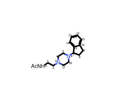 CC(=O)NCCN1CCN(C2CCc3ccccc32)CC1